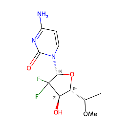 COC(C)[C@H]1O[C@@H](n2ccc(N)nc2=O)C(F)(F)[C@@H]1O